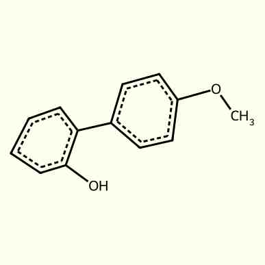 COc1ccc(-c2ccccc2O)cc1